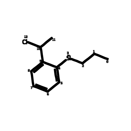 CCC[Si]c1ccccc1C(C)Cl